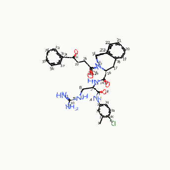 Cc1cc(NC(=O)C(CNC(=N)N)NC(=O)[C@@H]2Cc3ccccc3CN2C(=O)CCC(=O)c2ccccc2)ccc1Cl